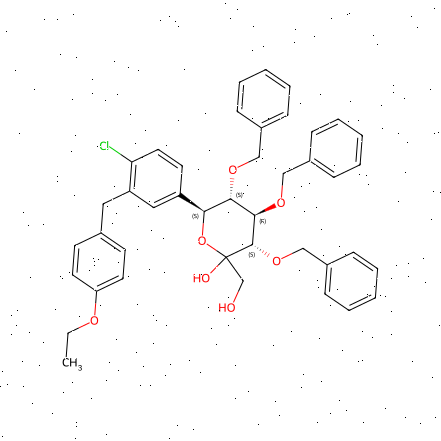 CCOc1ccc(Cc2cc([C@@H]3OC(O)(CO)[C@@H](OCc4ccccc4)[C@H](OCc4ccccc4)[C@H]3OCc3ccccc3)ccc2Cl)cc1